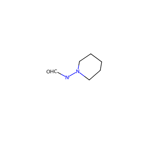 O=C[N]N1CCCCC1